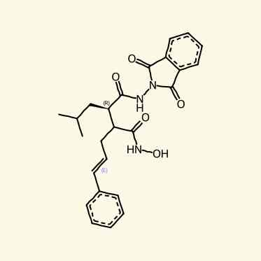 CC(C)C[C@@H](C(=O)NN1C(=O)c2ccccc2C1=O)C(C/C=C/c1ccccc1)C(=O)NO